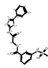 CS(=O)(=O)Nc1cccc(C(=O)OCC(=O)Nc2nnc(-c3ccccc3)s2)c1